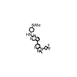 CN[C@H]1CC[C@H](Nc2ncc3c(-c4cnc5nc(C)n(C6CC(F)(F)C6)c5c4)ccn3n2)CC1